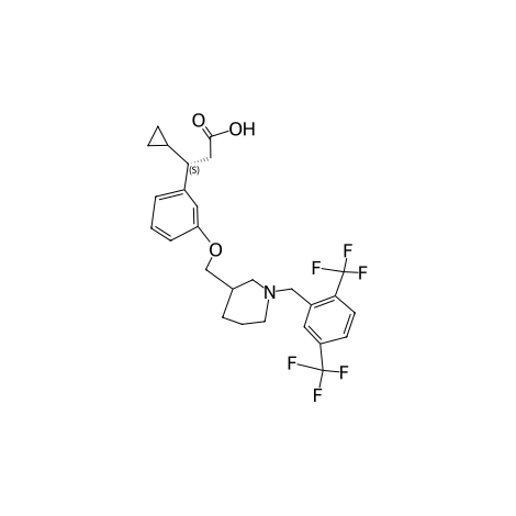 O=C(O)C[C@H](c1cccc(OCC2CCCN(Cc3cc(C(F)(F)F)ccc3C(F)(F)F)C2)c1)C1CC1